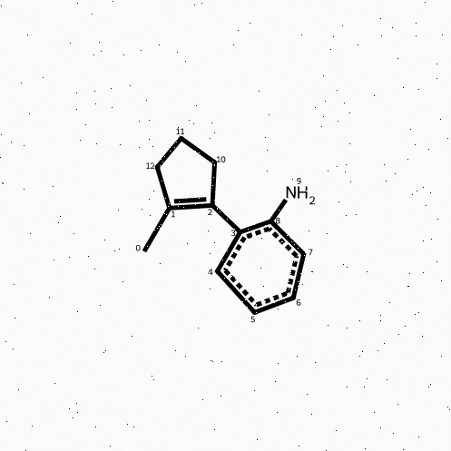 CC1=C(c2ccccc2N)CCC1